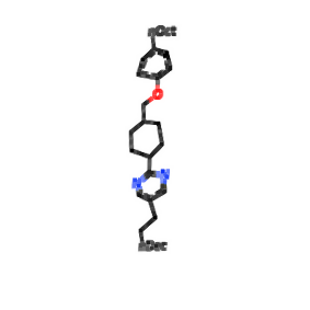 CCCCCCCCCCCCc1cnc(C2CCC(COc3ccc(CCCCCCCC)cc3)CC2)nc1